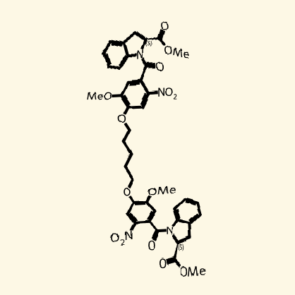 COC(=O)[C@@H]1Cc2ccccc2N1C(=O)c1cc(OC)c(OCCCCCOc2cc([N+](=O)[O-])c(C(=O)N3c4ccccc4C[C@H]3C(=O)OC)cc2OC)cc1[N+](=O)[O-]